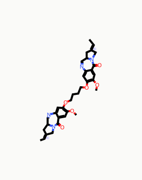 C/C=C1\CC2C=Nc3cc(OCCCCOc4cc5c(cc4OC)C(=O)N4C/C(=C/C)CC4C=N5)c(OC)cc3C(=O)N2C1